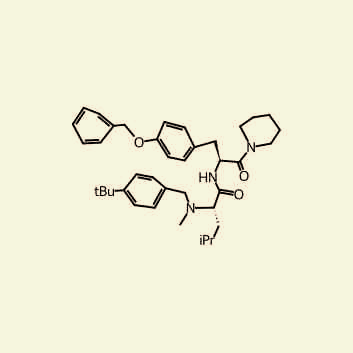 CC(C)C[C@@H](C(=O)N[C@@H](Cc1ccc(OCc2ccccc2)cc1)C(=O)N1CCCCC1)N(C)Cc1ccc(C(C)(C)C)cc1